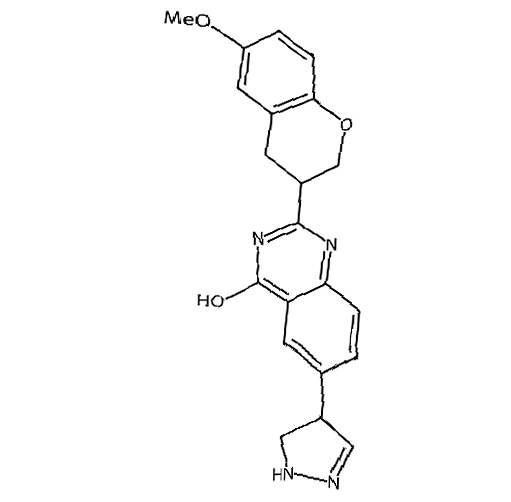 COc1ccc2c(c1)CC(c1nc(O)c3cc(C4C=NNC4)ccc3n1)CO2